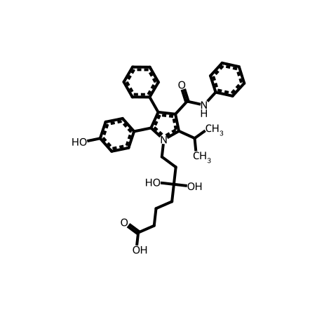 CC(C)c1c(C(=O)Nc2ccccc2)c(-c2ccccc2)c(-c2ccc(O)cc2)n1CCC(O)(O)CCCC(=O)O